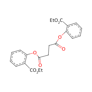 CCOC(=O)c1ccccc1OC(=O)CCC(=O)Oc1ccccc1C(=O)OCC